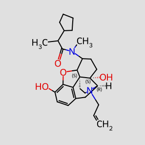 C=CCN1CC[C@]23c4c5ccc(O)c4OC2C(N(C)C(=O)C(C)C2CCCC2)CC[C@@]3(O)[C@H]1C5